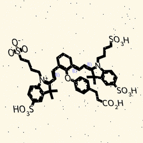 CC1(C)C(/C=C/C2=C(Oc3ccc(CCC(=O)O)cc3)C(=C/C=C3/N(CCCCS(=O)(=O)O)c4ccc(S(=O)(=O)O)cc4C3(C)C)/CCC2)=[N+](CCCCS(=O)(=O)[O-])c2ccc(S(=O)(=O)O)cc21